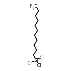 FC(F)(F)CCCCCCCCCC[Si](Cl)(Cl)Cl